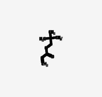 [CH2]C(C)(C)COC(=O)C=C